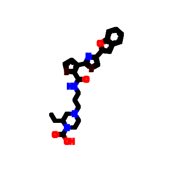 CCC1CN(CCCNC(=O)c2sccc2-c2nc(-c3cc4ccccc4o3)cs2)CCN1C(=O)O